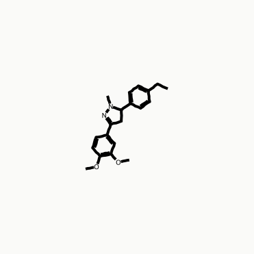 CCc1ccc(C2CC(c3ccc(OC)c(OC)c3)=NN2C)cc1